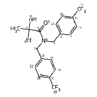 CCCC(C)(CC)C(=O)N(Cc1ccc(C(F)(F)F)cc1)Cc1ccc(C(F)(F)F)cc1